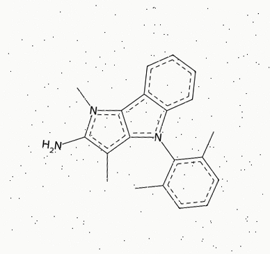 Cc1cccc(C)c1-n1c2ccccc2c2c1c(C)c(N)n2C